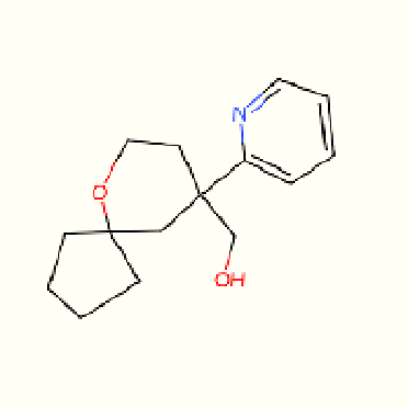 OCC1(c2ccccn2)CCOC2(CCCC2)C1